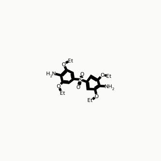 CCOc1cc(S(=O)(=O)c2cc(OCC)c(N)c(OCC)c2)cc(OCC)c1N